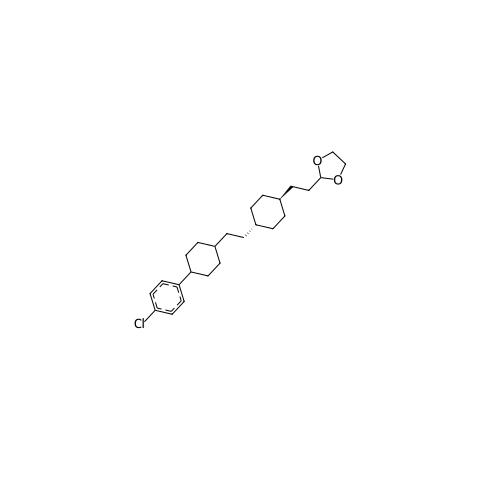 Clc1ccc(C2CCC(CC[C@H]3CC[C@H](CCC4OCCO4)CC3)CC2)cc1